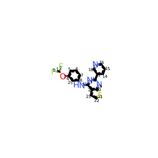 FC(F)Oc1cccc(Nc2nc(-c3cccnc3)nc3sccc23)c1